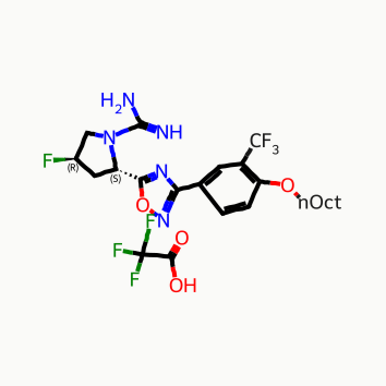 CCCCCCCCOc1ccc(-c2noc([C@@H]3C[C@@H](F)CN3C(=N)N)n2)cc1C(F)(F)F.O=C(O)C(F)(F)F